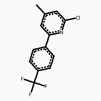 Cc1cc(Cl)nc(-c2ccc(C(F)(F)F)cc2)c1